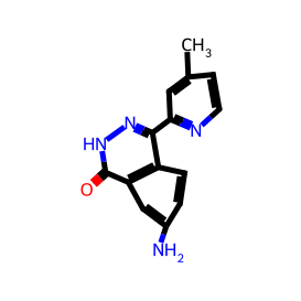 Cc1ccnc(-c2n[nH]c(=O)c3cc(N)ccc23)c1